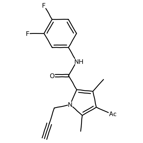 C#CCn1c(C)c(C(C)=O)c(C)c1C(=O)Nc1ccc(F)c(F)c1